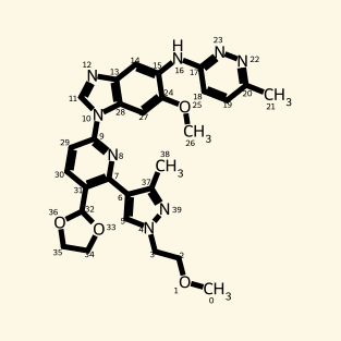 COCCn1cc(-c2nc(-n3cnc4cc(Nc5ccc(C)nn5)c(OC)cc43)ccc2C2OCCO2)c(C)n1